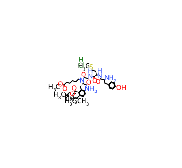 COC(=O)CCCCCN(C(=O)CNC(=O)[C@@H](CCSC)NC(=O)[C@@H](N)Cc1ccc(O)cc1)[C@@H](Cc1cccc(C(C)(C)C)c1C(=O)OCC(C)C)C(N)=O.Cl